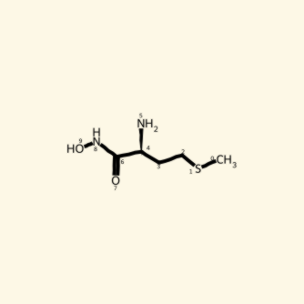 CSCC[C@H](N)C(=O)NO